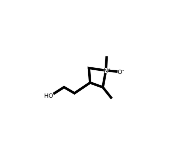 CC1C(CCO)C[N+]1(C)[O-]